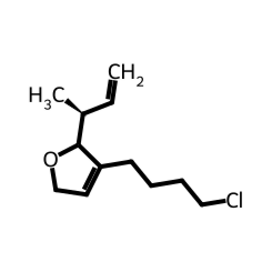 C=C[C@H](C)C1OCC=C1CCCCCl